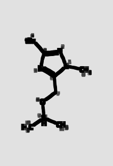 Cn1nc(C(C)(C)C)nc1CO[SiH](C)C